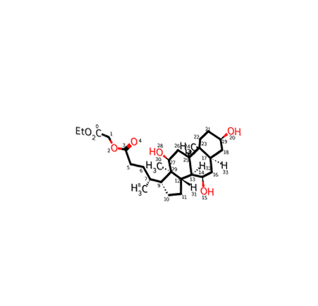 CCOC(=O)COC(=O)CC[C@@H](C)[C@H]1CC[C@H]2[C@@H]3[C@H](O)C[C@@H]4C[C@H](O)CC[C@]4(C)[C@H]3C[C@H](O)[C@]12C